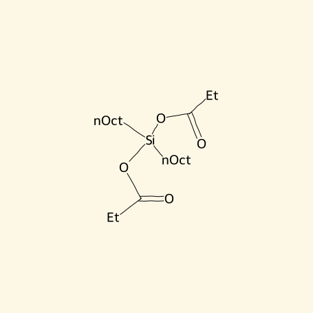 CCCCCCCC[Si](CCCCCCCC)(OC(=O)CC)OC(=O)CC